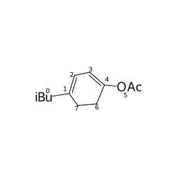 CCC(C)C1=CC=C(OC(C)=O)CC1